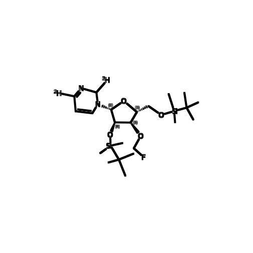 [2H]C1=NC([2H])N([C@@H]2O[C@H](CO[Si](C)(C)C(C)(C)C)[C@@H](OCF)[C@H]2O[Si](C)(C)C(C)(C)C)C=C1